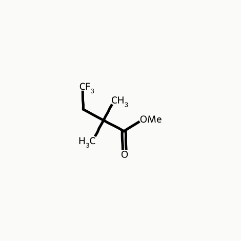 COC(=O)C(C)(C)CC(F)(F)F